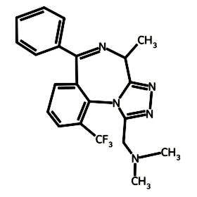 CC1N=C(c2ccccc2)c2cccc(C(F)(F)F)c2-n2c(CN(C)C)nnc21